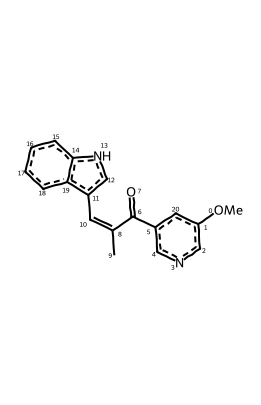 COc1cncc(C(=O)C(C)=Cc2c[nH]c3ccccc23)c1